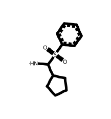 [NH]C(C1CCCC1)S(=O)(=O)c1ccccc1